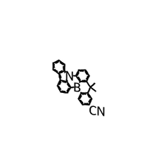 CC1(C)c2cc(C#N)ccc2B2c3c(cccc31)-n1c3ccccc3c3cccc2c31